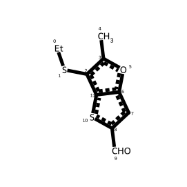 CCSc1c(C)oc2cc(C=O)sc12